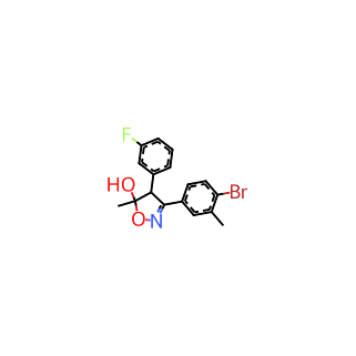 Cc1cc(C2=NOC(C)(O)C2c2cccc(F)c2)ccc1Br